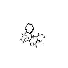 Cc1ccccc1N(C(C)C)C(C)C